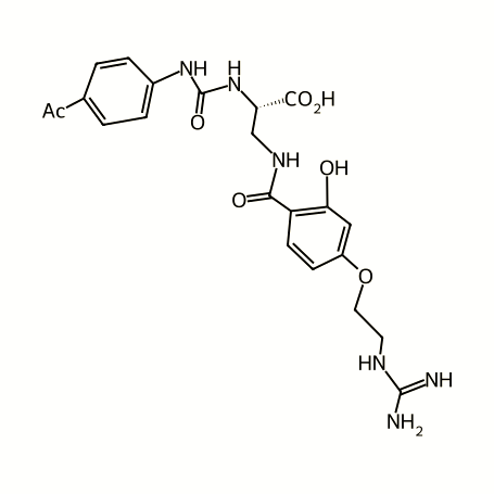 CC(=O)c1ccc(NC(=O)N[C@@H](CNC(=O)c2ccc(OCCNC(=N)N)cc2O)C(=O)O)cc1